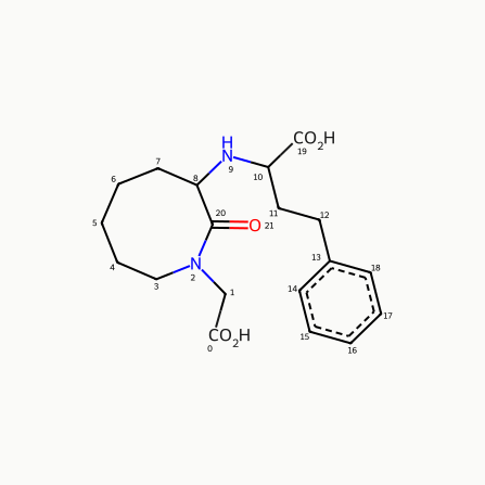 O=C(O)CN1CCCCCC(NC(CCc2ccccc2)C(=O)O)C1=O